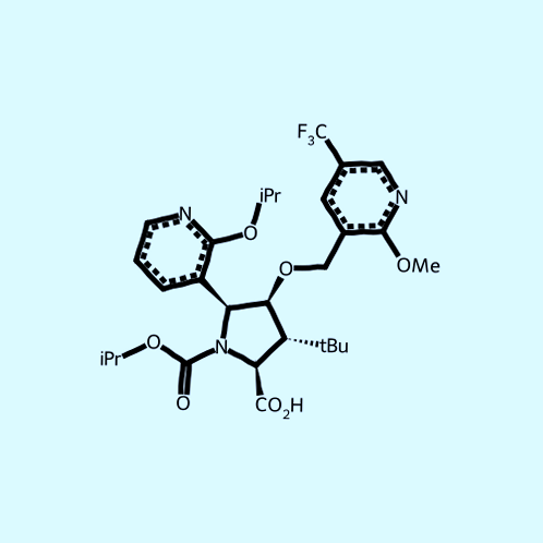 COc1ncc(C(F)(F)F)cc1CO[C@H]1[C@H](C(C)(C)C)[C@@H](C(=O)O)N(C(=O)OC(C)C)[C@H]1c1cccnc1OC(C)C